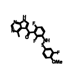 COc1ccc(SNc2ccc(F)c(C(=O)c3c[nH]c4ncnc(C)c34)c2F)cc1F